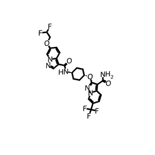 NC(=O)c1c(O[C@H]2CC[C@H](NC(=O)c3cnn4cc(OCC(F)F)ccc34)CC2)nn2cc(C(F)(F)F)ccc12